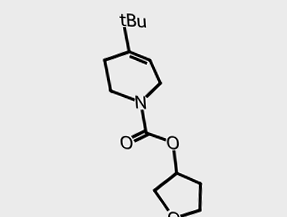 CC(C)(C)C1=CCN(C(=O)OC2CCOC2)CC1